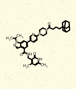 Cc1cc(C)c(CNC(=O)c2cc(-c3ccc(N4CCN(C(=O)CCCC56CC7CC(CC(C7)C5)C6)CC4)nc3)cc3c2cnn3C(C)C)c(=O)[nH]1